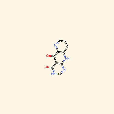 O=c1[nH]cnc2[nH]c3cccnc3c(=O)c12